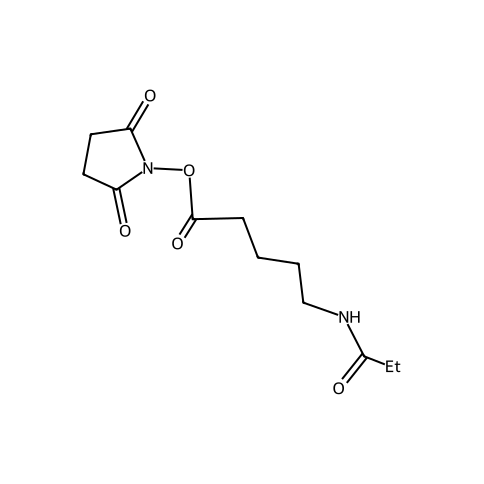 CCC(=O)NCCCCC(=O)ON1C(=O)CCC1=O